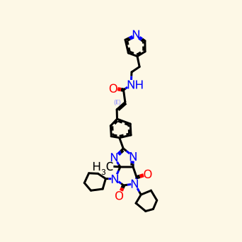 CC12N=C(c3ccc(/C=C/C(=O)NCCc4ccncc4)cc3)N=C1C(=O)N(C1CCCCC1)C(=O)N2C1CCCCC1